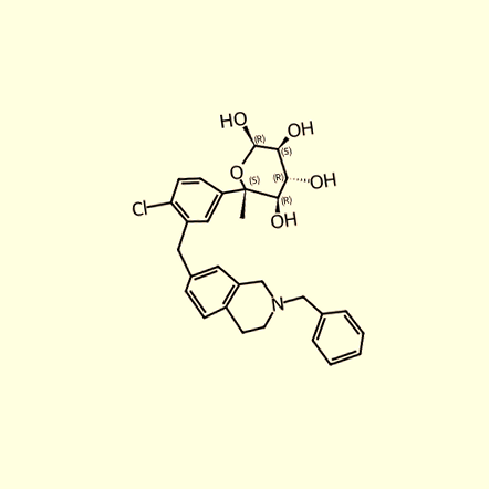 C[C@@]1(c2ccc(Cl)c(Cc3ccc4c(c3)CN(Cc3ccccc3)CC4)c2)O[C@@H](O)[C@@H](O)[C@H](O)[C@H]1O